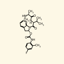 CN[C@@H](C)C(=O)N[C@H](C(=O)N1c2ncccc2C[C@@H]1OC(=O)Nc1ccc(F)cc1C)C(C)C